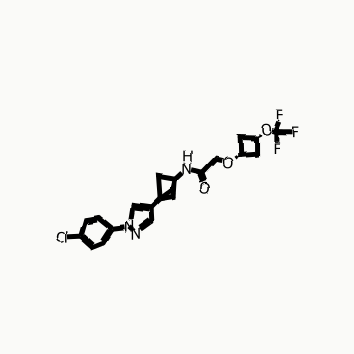 O=C(CO[C@H]1C[C@@H](OC(F)(F)F)C1)NC12CC(c3cnn(-c4ccc(Cl)cc4)c3)(C1)C2